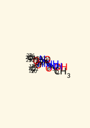 C[C@@H](O)CNC(=O)NNC(=O)c1cc(OCc2ccccc2)c(OCc2ccccc2)cn1